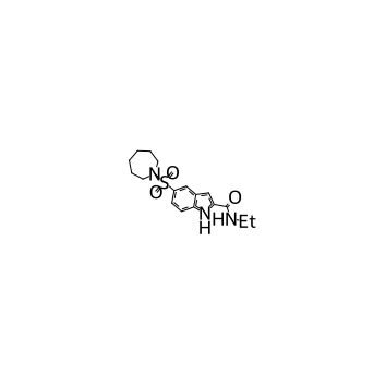 CCNC(=O)c1cc2cc(S(=O)(=O)N3CCCCCC3)ccc2[nH]1